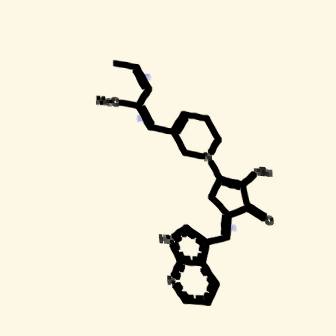 C/C=C\C(=C/C1=CCCN(C2=C(CCCC)C(=O)/C(=C/c3c[nH]c4ncccc34)C2)C1)OC